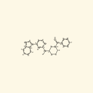 CN(c1nccc(-n2cnc3ccccc32)n1)C1CCCN(C(=O)c2ccccc2)C1